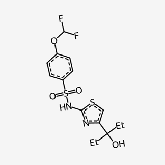 CCC(O)(CC)c1csc(NS(=O)(=O)c2ccc(OC(F)F)cc2)n1